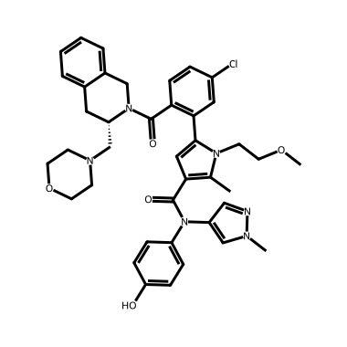 COCCn1c(-c2cc(Cl)ccc2C(=O)N2Cc3ccccc3C[C@H]2CN2CCOCC2)cc(C(=O)N(c2ccc(O)cc2)c2cnn(C)c2)c1C